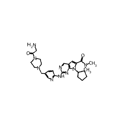 CN(C)C(=O)c1cc2cnc(Nc3ccc(CN4CCN(C(=O)CN)CC4)cn3)nc2n1C1CCCC1